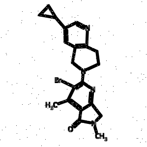 Cc1c(Br)c(N2CCc3ncc(C4CC4)cc3C2)nc2c1C(=O)N(C)C2